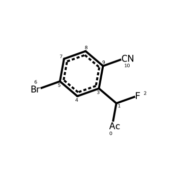 CC(=O)C(F)c1cc(Br)ccc1C#N